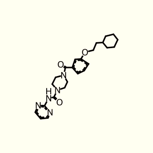 O=C(Nc1ncccn1)N1CCN(C(=O)c2cccc(OCCC3CCCCC3)c2)CC1